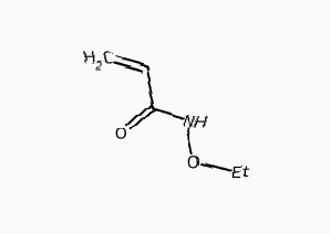 C=CC(=O)NOCC